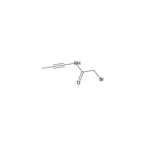 CC#CNC(=O)CBr